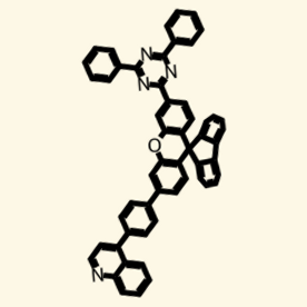 c1ccc(-c2nc(-c3ccccc3)nc(-c3ccc4c(c3)Oc3cc(-c5ccc(-c6ccnc7ccccc67)cc5)ccc3C43c4ccccc4-c4ccccc43)n2)cc1